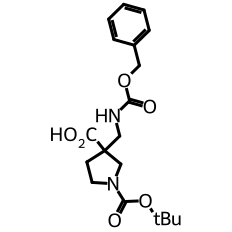 CC(C)(C)OC(=O)N1CCC(CNC(=O)OCc2ccccc2)(C(=O)O)C1